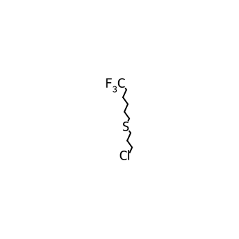 FC(F)(F)CCCCCSCCCCl